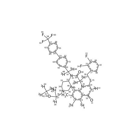 [2H]c1c(C)c([2H])c2c(c1[2H])c(=O)c([2H])c(SCc1cccc(F)c1F)n2C([2H])([2H])C(=O)N(C1CCN(CC([2H])([2H])OC([2H])([2H])[2H])CC1)C([2H])([2H])c1ccc(-c2ccc(C(F)(F)F)cc2)cc1